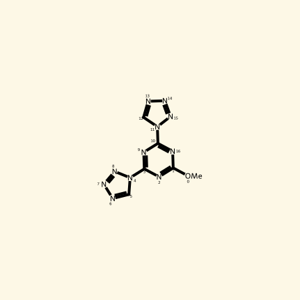 COc1nc(-n2cnnn2)nc(-n2cnnn2)n1